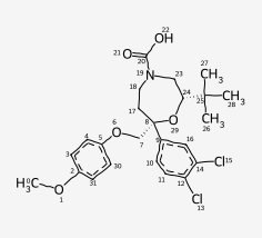 COc1ccc(OC[C@]2(c3ccc(Cl)c(Cl)c3)CCN(C(=O)O)C[C@H](C(C)(C)C)O2)cc1